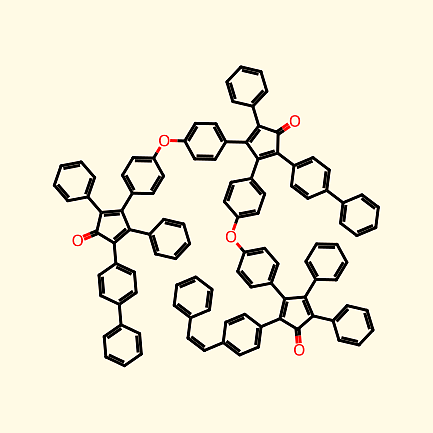 O=C1C(c2ccc(-c3ccccc3)cc2)=C(c2ccccc2)C(c2ccc(Oc3ccc(C4=C(c5ccccc5)C(=O)C(c5ccc(-c6ccccc6)cc5)=C4c4ccc(Oc5ccc(C6=C(c7ccc(C=Cc8ccccc8)cc7)C(=O)C(c7ccccc7)=C6c6ccccc6)cc5)cc4)cc3)cc2)=C1c1ccccc1